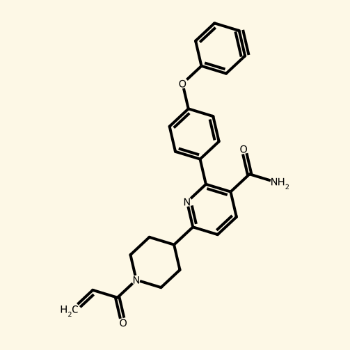 C=CC(=O)N1CCC(c2ccc(C(N)=O)c(-c3ccc(Oc4cc#ccc4)cc3)n2)CC1